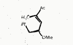 COC(C=C(C)C(C)=O)CC(C)C